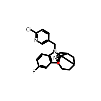 Fc1ccc2c(c1)c1c(n2Cc2ccc(Cl)nc2)C2CC3CC1CN(C3)C2